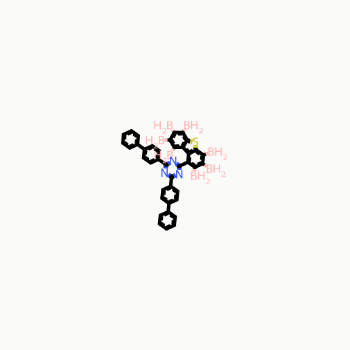 Bc1c(B)c(B)c2c(sc3c(B)c(B)c(B)c(-c4nc(-c5ccc(-c6ccccc6)cc5)nc(-c5ccc(-c6ccccc6)cc5)n4)c32)c1B